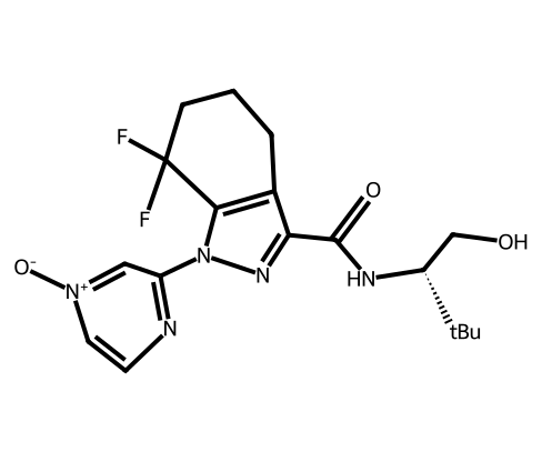 CC(C)(C)[C@@H](CO)NC(=O)c1nn(-c2c[n+]([O-])ccn2)c2c1CCCC2(F)F